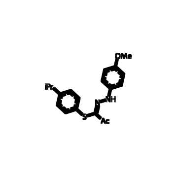 COc1ccc(N/N=C(/Sc2ccc(C(C)C)cc2)C(C)=O)cc1